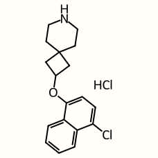 Cl.Clc1ccc(OC2CC3(CCNCC3)C2)c2ccccc12